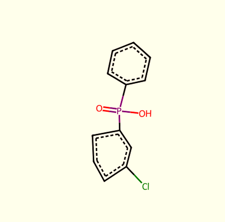 O=P(O)(c1ccccc1)c1cccc(Cl)c1